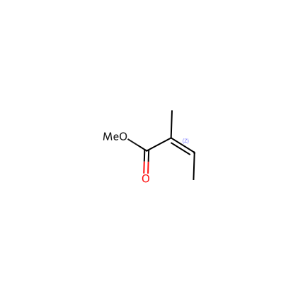 [CH2]OC(=O)/C(C)=C\C